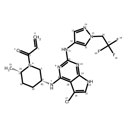 C=CC(=O)N1C[C@H](Nc2nc(Nc3cnn(CC(F)(F)F)c3)nc3[nH]cc(Cl)c23)CC[C@@H]1C